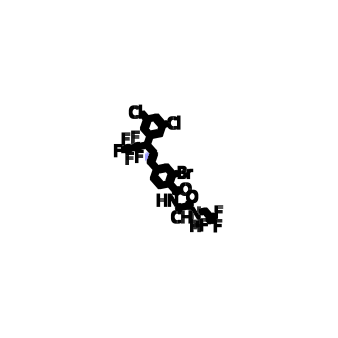 CC(NC(=O)c1ccc(/C=C/C(c2cc(Cl)cc(Cl)c2)C(F)(F)C(F)(F)F)cc1Br)C(=O)NCC(F)(F)F